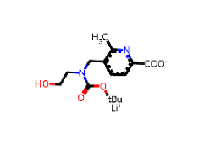 Cc1nc(C(=O)[O-])ccc1CN(CCO)C(=O)OC(C)(C)C.[Li+]